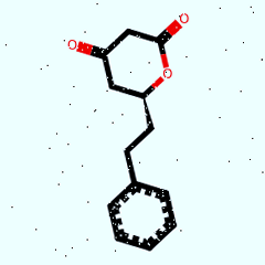 O=C1CC(=O)O[C@@H](CCc2ccccc2)C1